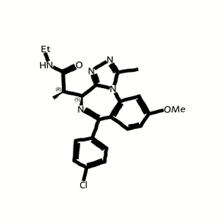 CCNC(=O)[C@H](C)[C@@H]1N=C(c2ccc(Cl)cc2)c2ccc(OC)cc2-n2c(C)nnc21